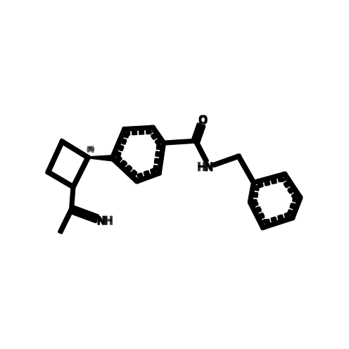 CC(=N)C1CC[C@H]1c1ccc(C(=O)NCc2ccccc2)cc1